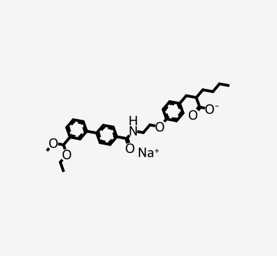 CCCCC(Cc1ccc(OCCNC(=O)c2ccc(-c3cccc(C(OC)OCC)c3)cc2)cc1)C(=O)[O-].[Na+]